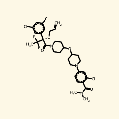 C=CCO[C@@](C(=O)N1CCC(OC2CCN(c3ccc(C(=O)N(C)C)c(Cl)c3)CC2)CC1)(c1cc(Cl)cc(Cl)c1)C(C)(F)F